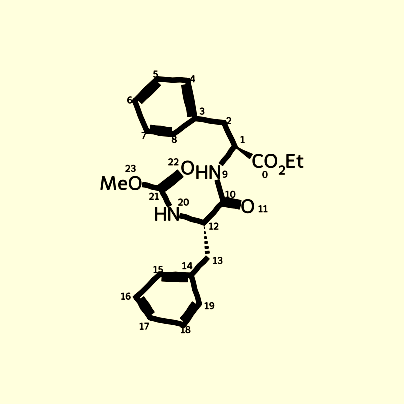 CCOC(=O)[C@H](Cc1ccccc1)NC(=O)[C@H](Cc1ccccc1)NC(=O)OC